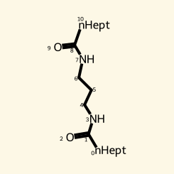 CCCCCCCC(=O)NCCCNC(=O)CCCCCCC